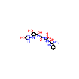 Nc1c(C(O)N[C@@H](CNC(=O)CNC(O)c2cc(O)cc(NC3=NCC(O)CN3)c2)C(=O)O)[nH]c2ccccc12